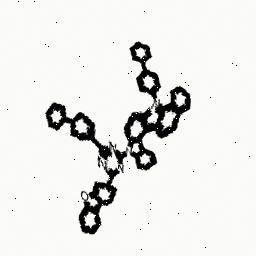 c1ccc(-c2ccc(-c3nc(-c4ccc5c(c4)oc4ccccc45)nc(-n4c5ccccc5c5c6c7ccc8ccccc8c7n(-c7ccc(-c8ccccc8)cc7)c6ccc54)n3)cc2)cc1